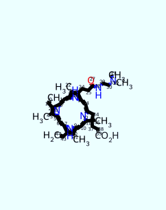 C=CC1=C(C)c2cc3[nH]c(cc4nc(cc5[nH]c(cc1n2)c(C)c5CCC(=O)NCCN(C)C)CC4(C)CCC(=O)O)c(C)c3C=C